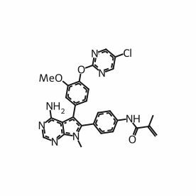 C=C(C)C(=O)Nc1ccc(-c2c(-c3ccc(Oc4ncc(Cl)cn4)c(OC)c3)c3c(N)ncnc3n2C)cc1